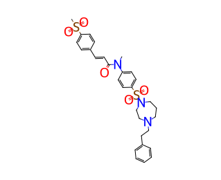 CN(C(=O)C=Cc1ccc(S(C)(=O)=O)cc1)c1ccc(S(=O)(=O)N2CCCN(CCc3ccccc3)CC2)cc1